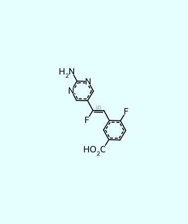 Nc1ncc(/C(F)=C/c2cc(C(=O)O)ccc2F)cn1